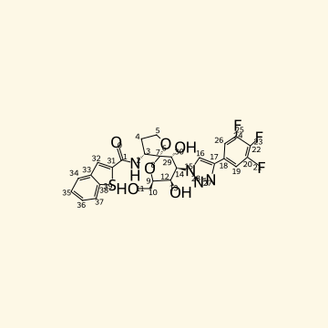 O=C(N[C@@H]1CCO[C@]12O[C@H](CO)[C@H](O)[C@H](n1cc(-c3cc(F)c(F)c(F)c3)nn1)[C@H]2O)c1cc2ccccc2s1